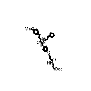 CCCCCCCCCCCCNC(=O)CCCOc1ccc(NC(NC(=O)CCC2CCCC2)C(=O)NCCc2ccc(OC)cc2)cc1